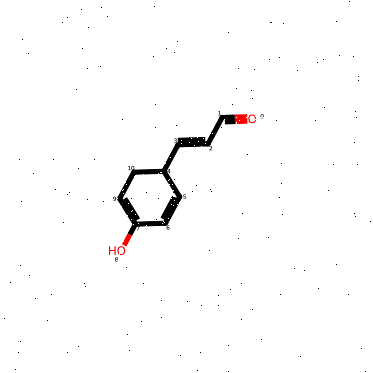 O=CC=CC1C=CC(O)=CC1